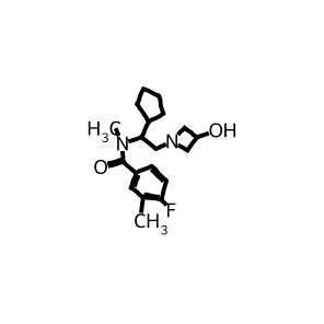 Cc1cc(C(=O)N(C)C(CN2CC(O)C2)C2CCCC2)ccc1F